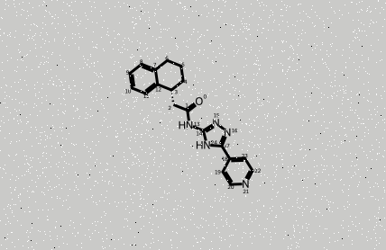 O=C(C[C@H]1CCCc2ccccc21)Nc1nnc(-c2ccncc2)[nH]1